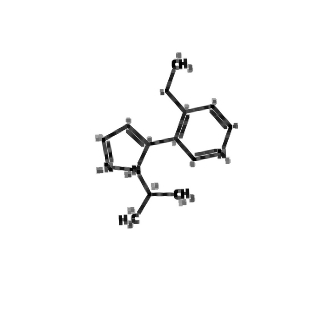 CCc1ccncc1-c1ccnn1C(C)C